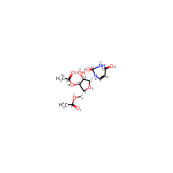 CC(=O)OC[C@H]1O[C@@H](n2ccc(=O)[nH]c2=O)[C@H](O)[C@@H]1OC(C)=O